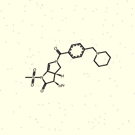 CCC[C@H]1C(=O)N(S(C)(=O)=O)C2=CN(C(=O)c3ccc(CN4CCCCC4)cc3)C[C@@H]21